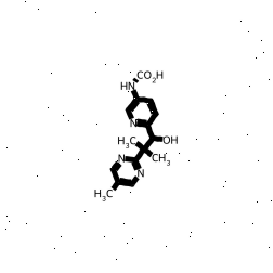 Cc1cnc(C(C)(C)C(O)c2ccc(NC(=O)O)cn2)nc1